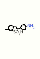 Cc1ccc(/C=C/c2ccc(N)cc2)c(S(=O)(=O)O)c1